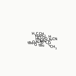 C=CCCC(NC(=O)C1[C@H]2[C@@H](CN1C(=O)[C@@H](NC(=O)OC(C)(C)C)C(C)(C)C)C2(C)C)C(=O)C(=O)NCC#N